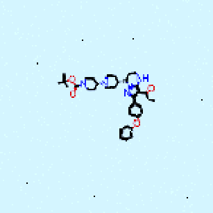 CCC(=O)c1c(-c2ccc(Oc3ccccc3)cc2)nn2c1NCC[C@H]2C1CCN(C2CCN(C(=O)OC(C)(C)C)CC2)CC1